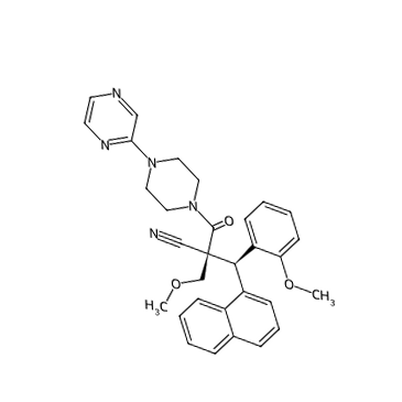 COC[C@@](C#N)(C(=O)N1CCN(c2cnccn2)CC1)[C@@H](c1ccccc1OC)c1cccc2ccccc12